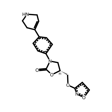 O=C1O[C@@H](COc2ccon2)CN1c1ccc(C2=CCNCC2)cc1